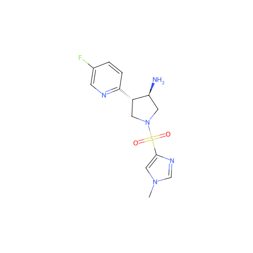 Cn1cnc(S(=O)(=O)N2C[C@H](c3ccc(F)cn3)[C@@H](N)C2)c1